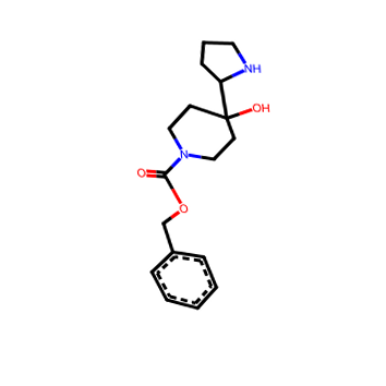 O=C(OCc1ccccc1)N1CCC(O)(C2CCCN2)CC1